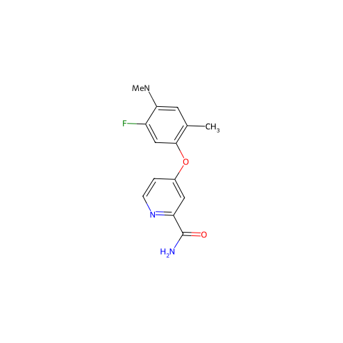 CNc1cc(C)c(Oc2ccnc(C(N)=O)c2)cc1F